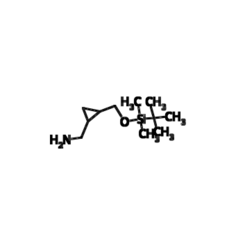 CC(C)(C)[Si](C)(C)OCC1CC1CN